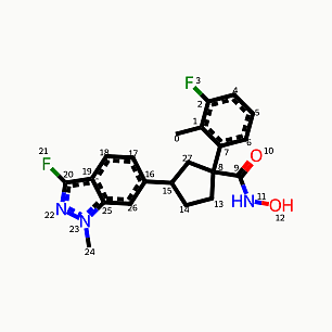 Cc1c(F)cccc1C1(C(=O)NO)CCC(c2ccc3c(F)nn(C)c3c2)C1